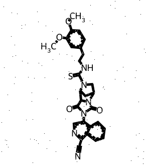 COc1ccc(CCNC(=S)N2CC3CC2C2C(=O)N(c4cnc(C#N)c5ccccc45)C(=O)N32)cc1OC